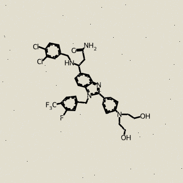 NC(=O)CC(NCc1ccc(Cl)c(Cl)c1)c1ccc2c(c1)nc(-c1ccc(N(CCO)CCO)cc1)n2Cc1ccc(C(F)(F)F)c(F)c1